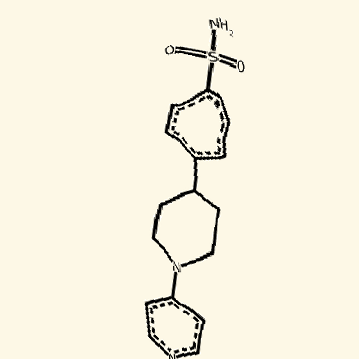 NS(=O)(=O)c1ccc(C2CCN(c3ccncc3)CC2)cc1